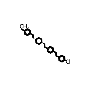 CCc1ccc(CC[C@H]2CC[C@H](CCc3ccc(CCc4ccc(Cl)cc4)cc3)CC2)cc1